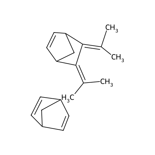 C1=CC2C=CC1C2.CC(C)=C1C(=C(C)C)C2C=CC1C2